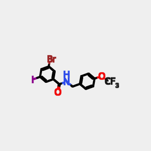 O=C(NCc1ccc(OC(F)(F)F)cc1)c1cc(Br)cc(I)c1